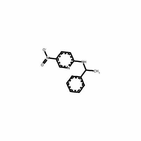 CC(Nc1ccc([N+](=O)[O-])cn1)c1ccccc1